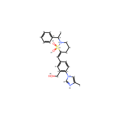 Cc1cn(-c2ccc(/C=C3\CCCN(C(C)c4ccccc4)S3(=O)=O)cc2CO)cn1